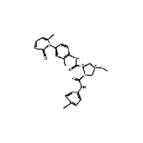 CO[C@@H]1C[C@H](C(=O)Nc2ccc(-n3c(C)cccc3=O)cc2F)N(C(=O)Nc2ccc(C)cc2)C1